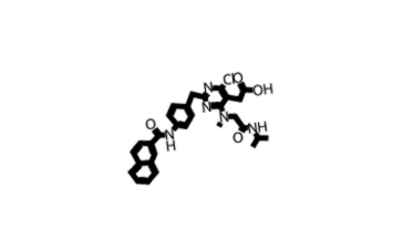 CC(C)NC(=O)CN(C)c1nc(Cc2ccc(NC(=O)c3ccc4ccccc4c3)cc2)nc(Cl)c1CC(=O)O